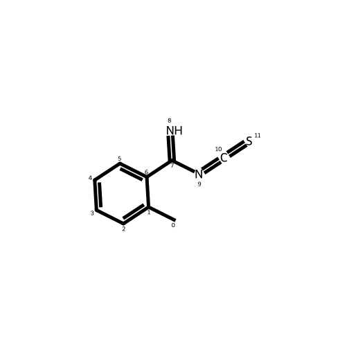 Cc1ccccc1C(=N)N=C=S